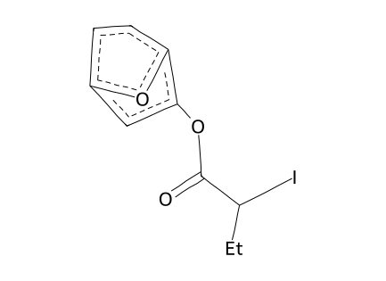 CCC(I)C(=O)Oc1cc2ccc1o2